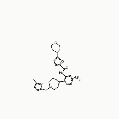 Cn1ccc(CN2CCCN(c3ccc(C(F)(F)F)cc3NC(=O)c3ccc(C4CCOCC4)o3)CC2)n1